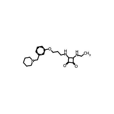 CCNC1C(=O)C(=O)C1NCCCOc1cccc(CN2CCCCC2)c1